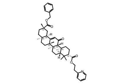 CC1(C)[C@@H](C(=O)OCCc2ccccn2)CC[C@]2(C)[C@H]3C(=O)C=C4[C@@H]5C[C@@](C)(C(=O)OCc6ccccc6)CC[C@]5(C)CC[C@@]4(C)[C@]3(C)CC[C@@H]12